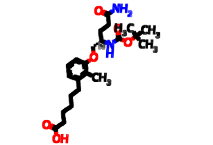 Cc1c(CCCCCC(=O)O)cccc1OC[C@H](CCC(N)=O)NC(=O)OC(C)(C)C